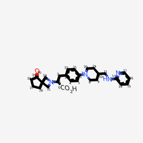 O=C(O)C(Cc1ccc(N2CCC(CNc3ccccn3)CC2)cc1)N1CC2(CCCC2=O)C1